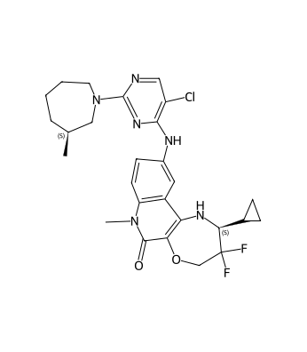 C[C@H]1CCCCN(c2ncc(Cl)c(Nc3ccc4c(c3)c3c(c(=O)n4C)OCC(F)(F)[C@H](C4CC4)N3)n2)C1